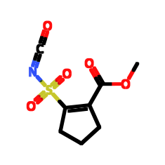 COC(=O)C1=C(S(=O)(=O)N=C=O)CCC1